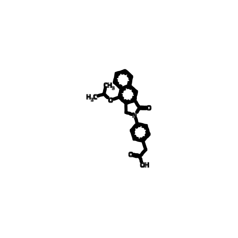 CC(C)Oc1c2c(cc3ccccc13)C(=O)N(c1ccc(CC(=O)O)cc1)C2